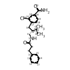 CN(C)[C@H](CNC(=O)CCc1ccccc1)Cc1ccc(C(N)=O)cc1Cl